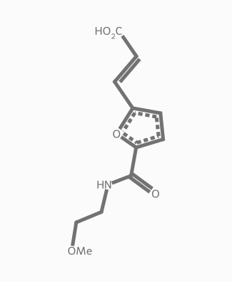 COCCNC(=O)c1ccc(/C=C/C(=O)O)o1